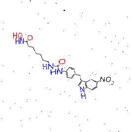 O=C(CCCCCCNC(=O)Nc1ccc(Cc2c[nH]c3ccc([N+](=O)[O-])cc23)cc1)NO